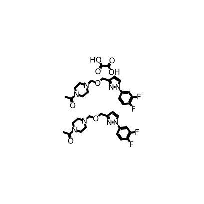 CC(=O)N1CCN(COCc2ccn(-c3ccc(F)c(F)c3)n2)CC1.CC(=O)N1CCN(COCc2ccn(-c3ccc(F)c(F)c3)n2)CC1.O=C(O)C(=O)O